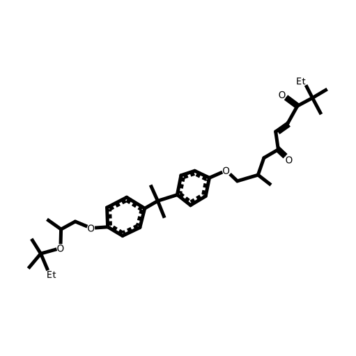 CCC(C)(C)OC(C)COc1ccc(C(C)(C)c2ccc(OCC(C)CC(=O)/C=C/C(=O)C(C)(C)CC)cc2)cc1